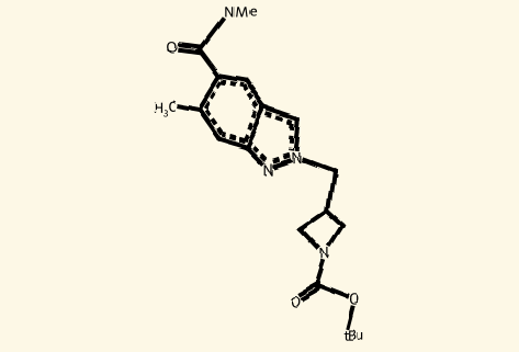 CNC(=O)c1cc2cn(CC3CN(C(=O)OC(C)(C)C)C3)nc2cc1C